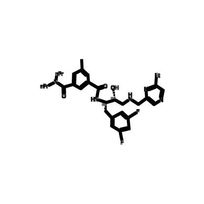 CCCN(CCC)C(=O)c1cc(C)cc(C(=O)N[C@@H](Cc2cc(F)cc(F)c2)[C@H](O)CNCc2cncc(CC)n2)c1